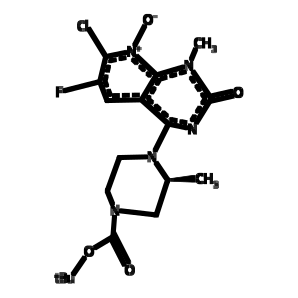 C[C@H]1CN(C(=O)OC(C)(C)C)CCN1c1nc(=O)n(C)c2c1cc(F)c(Cl)[n+]2[O-]